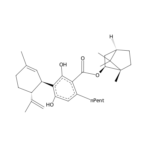 C=C(C)[C@@H]1CCC(C)=C[C@H]1c1c(O)cc(CCCCC)c(C(=O)O[C@H]2C[C@H]3CC[C@@]2(C)C3(C)C)c1O